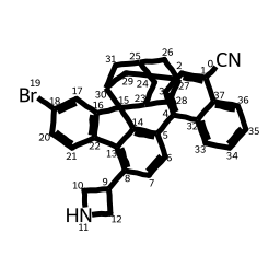 N#Cc1ccc(-c2ccc(C3CNC3)c3c2C2(c4cc(Br)ccc4-3)C3CC4CC(C3)CC2C4)c2ccccc12